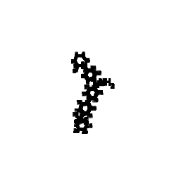 CC1CCCCN1c1ccc(N(N)c2ccc(-c3ccc(C4(C)SCCCS4)cc3)cc2)cc1